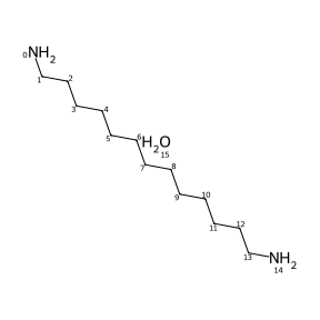 NCCCCCCCCCCCCCN.O